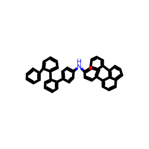 c1ccc(-c2ccccc2-c2ccccc2-c2ccc(Nc3ccc(-c4cccc5cccc(-c6ccccc6)c45)cc3)cc2)cc1